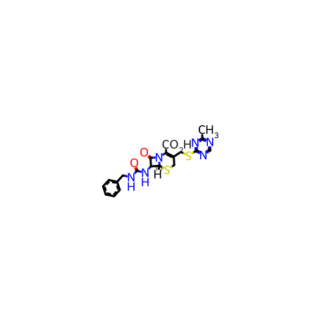 Cc1ncnc(SCC2=C(C(=O)O)N3C(=O)C(NC(=O)NCc4ccccc4)[C@H]3SC2)n1